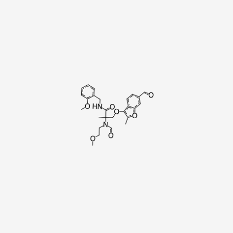 COCCN(C=O)C(C)(COc1c(C)oc2cc(C=O)ccc12)C(=O)NCc1ccccc1OC